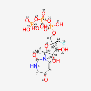 N#C[C@@]1(N2C=CC(=O)CNC2=O)O[C@](CF)(COP(=O)(O)OP(=O)(O)OP(=O)(O)O)[C@@H](O)[C@H]1O